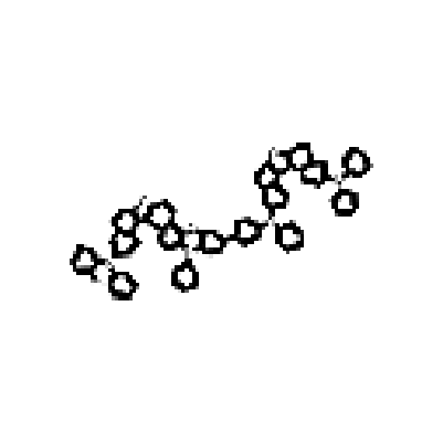 Cc1ccccc1N(c1ccccc1)c1ccc2c(ccc3oc4ccc5cc(N(c6ccccc6)c6ccc(-c7ccc(N(c8ccccc8)c8ccc9c(ccc%10oc%11ccc%12cc(N(c%13ccccc%13)c%13ccccc%13)ccc%12c%11c%109)c8)cc7)cc6C)ccc5c4c32)c1